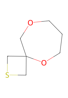 C1COCC2(CSC2)OC1